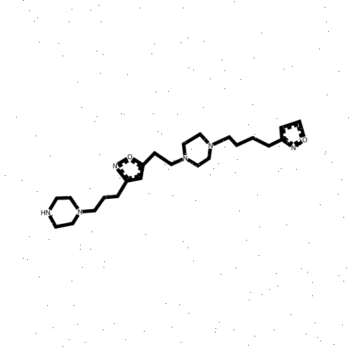 c1cc(CCCCN2CCN(CCc3cc(CCCN4CCNCC4)no3)CC2)no1